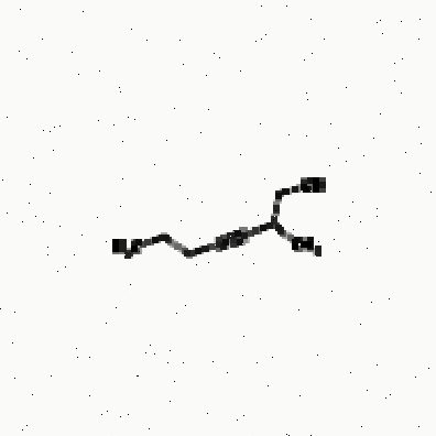 [CH2]CCC#CC(C)CO